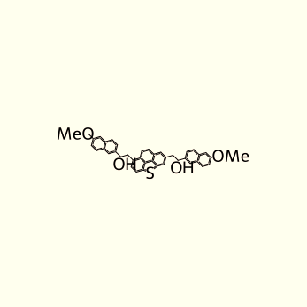 COc1ccc2cc(C(O)Cc3cc4ccc5c(CC(O)c6ccc7cc(OC)ccc7c6)ccc6sc(c3)c4c65)ccc2c1